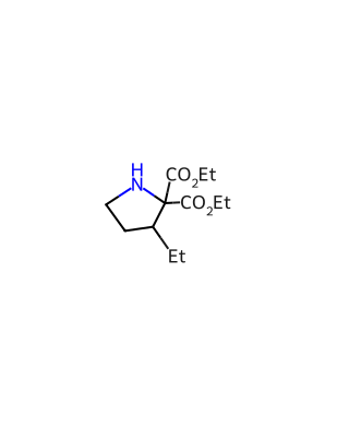 CCOC(=O)C1(C(=O)OCC)NCCC1CC